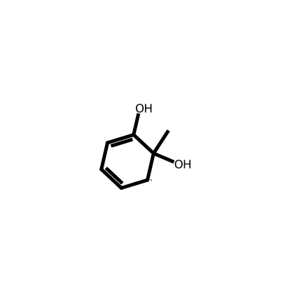 CC1(O)[CH]C=CC=C1O